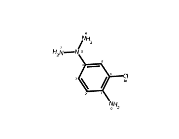 Nc1ccc(N(N)N)cc1Cl